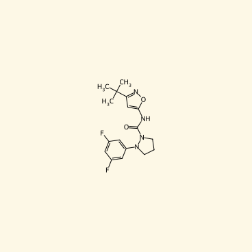 CC(C)(C)c1cc(NC(=O)N2CCCN2c2cc(F)cc(F)c2)on1